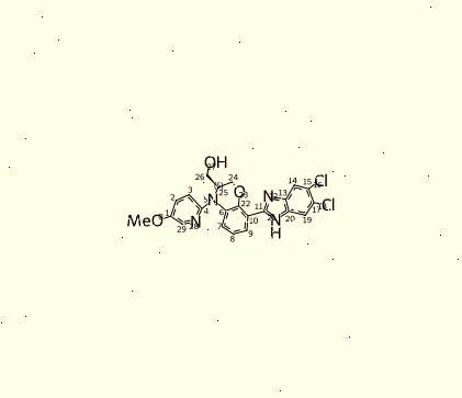 COc1ccc(N2c3cccc(-c4nc5cc(Cl)c(Cl)cc5[nH]4)c3OC[C@@H]2CO)nc1